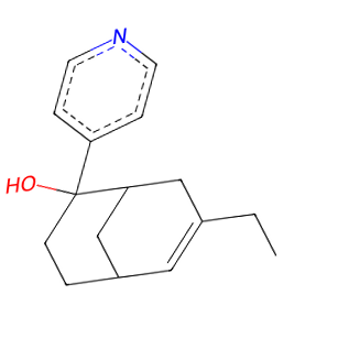 CCC1=CC2CCC(O)(c3ccncc3)C(C1)C2